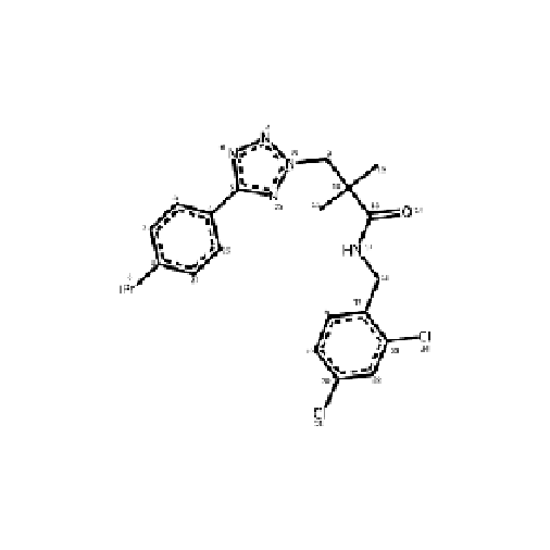 CC(C)c1ccc(-c2nnn(CC(C)(C)C(=O)NCc3ccc(Cl)cc3Cl)n2)cc1